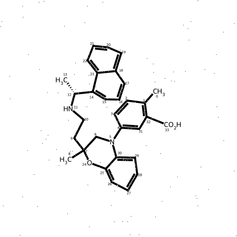 Cc1ccc(N2CC(C)(CCN[C@H](C)c3cccc4ccccc34)Oc3ccccc32)cc1C(=O)O